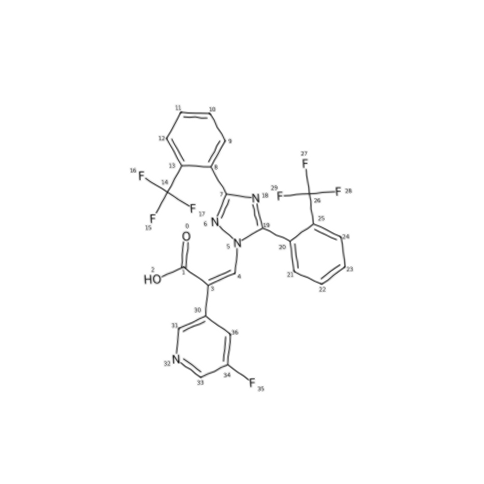 O=C(O)C(=Cn1nc(-c2ccccc2C(F)(F)F)nc1-c1ccccc1C(F)(F)F)c1cncc(F)c1